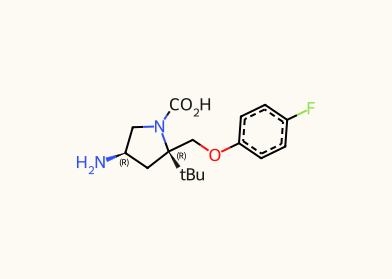 CC(C)(C)[C@@]1(COc2ccc(F)cc2)C[C@@H](N)CN1C(=O)O